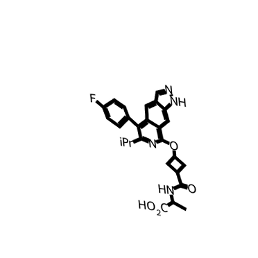 CC(NC(=O)C1CC(Oc2nc(C(C)C)c(-c3ccc(F)cc3)c3cc4cn[nH]c4cc23)C1)C(=O)O